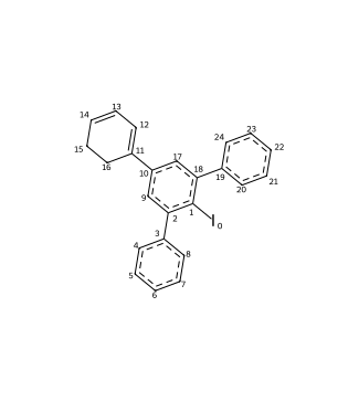 Ic1c(-c2ccccc2)cc(C2=CC=CCC2)cc1-c1ccccc1